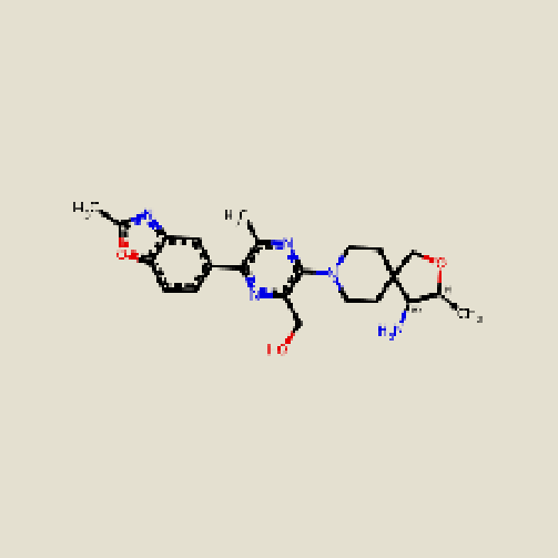 Cc1nc2cc(-c3nc(CO)c(N4CCC5(CC4)CO[C@@H](C)[C@H]5N)nc3C)ccc2o1